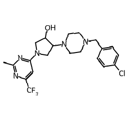 Cc1nc(N2CC(O)C(N3CCN(Cc4ccc(Cl)cc4)CC3)C2)cc(C(F)(F)F)n1